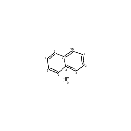 F.c1ccc2ccccc2c1